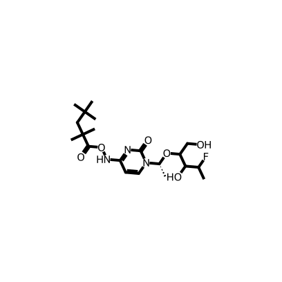 CC(F)C(O)C(CO)O[C@H](C)n1ccc(NOC(=O)C(C)(C)CC(C)(C)C)nc1=O